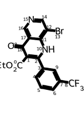 CCOC(=O)c1c(-c2cccc(C(F)(F)F)c2)[nH]c2c(Br)cncc2c1=O